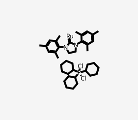 Cc1cc(C)c(N2CCN(c3c(C)cc(C)cc3C)[C]2=[Ru])c(C)c1.ClP(Cl)(C1CCCCC1)(C1CCCCC1)C1CCCCC1